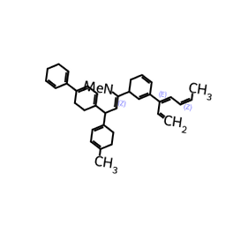 C=C/C(=C\C=C/C)C1=CC(/C(=C/C(C2=CC=C(C)CC2)C2=CC=C(C3=CCCC=C3)CC2)NC)CC=C1